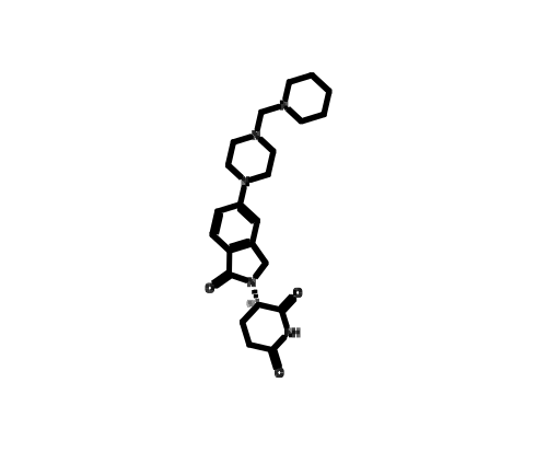 O=C1CC[C@H](N2Cc3cc(N4CCN(CN5CCCCC5)CC4)ccc3C2=O)C(=O)N1